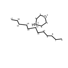 C1COCCN1.CCCCCCCCCCCC